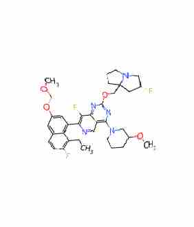 CCc1c(F)ccc2cc(OCOC)cc(-c3ncc4c(N5CCCC(OC)C5)nc(OCC56CCCN5C[C@H](F)C6)nc4c3F)c12